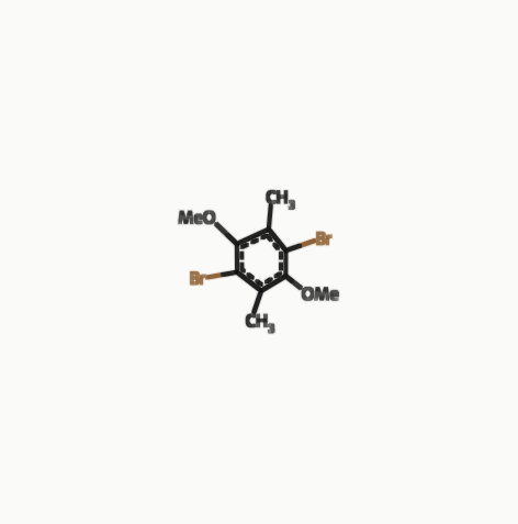 COc1c(C)c(Br)c(OC)c(C)c1Br